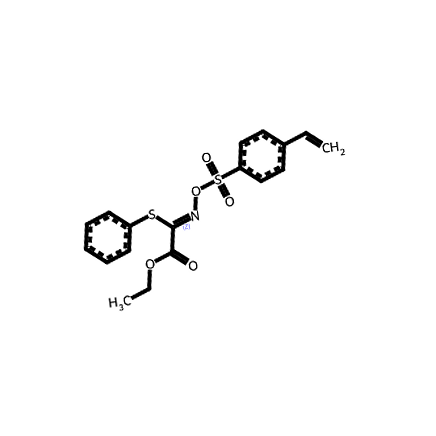 C=Cc1ccc(S(=O)(=O)O/N=C(\Sc2ccccc2)C(=O)OCC)cc1